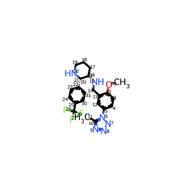 COc1ccc(-n2nnnc2C)cc1CN[C@H]1CCCN[C@H]1c1ccc(C(F)(F)F)cc1